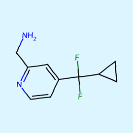 NCc1cc(C(F)(F)C2CC2)ccn1